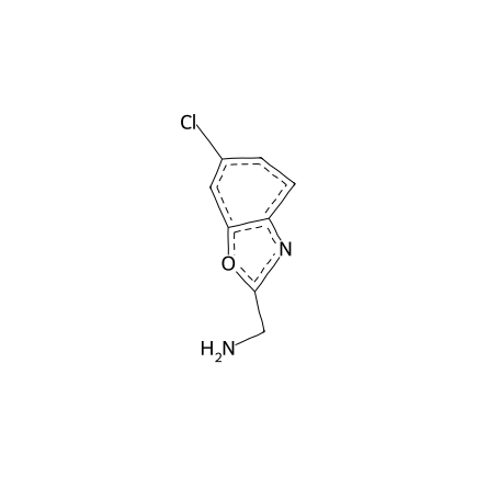 NCc1nc2ccc(Cl)cc2o1